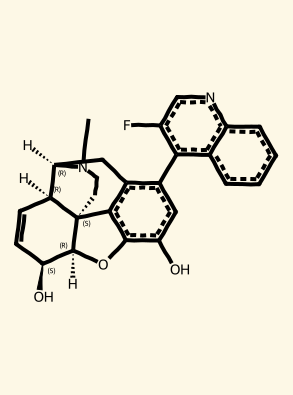 CN1CC[C@]23c4c5c(-c6c(F)cnc7ccccc67)cc(O)c4O[C@H]2[C@@H](O)C=C[C@H]3[C@H]1C5